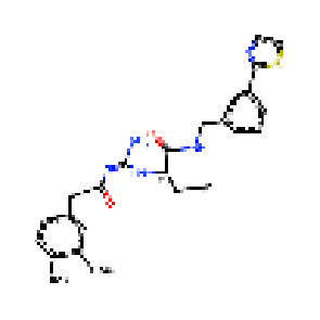 COc1ccc(CC(=O)N=C(N)N[C@H](CC(C)C)C(=O)NCc2cccc(-c3nccs3)c2)cc1OC